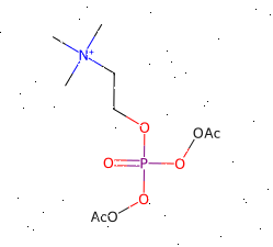 CC(=O)OOP(=O)(OCC[N+](C)(C)C)OOC(C)=O